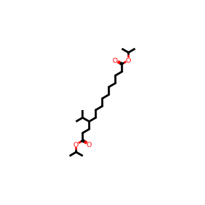 CC(C)OC(=O)CCCCCCCCCC(CCC(=O)OC(C)C)C(C)C